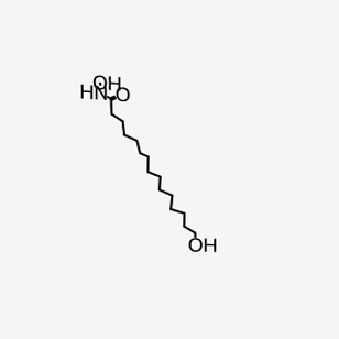 O=C(CCCCCCCCCCCCCCO)NO